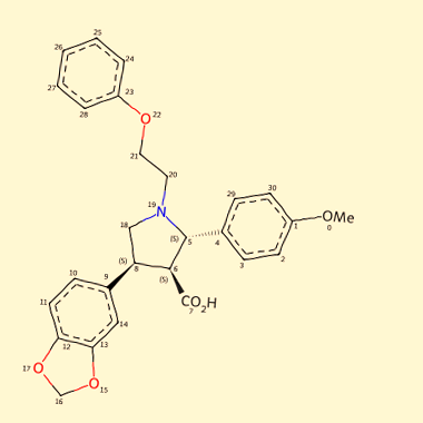 COc1ccc([C@@H]2[C@@H](C(=O)O)[C@@H](c3ccc4c(c3)OCO4)CN2CCOc2ccccc2)cc1